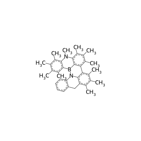 Cc1c(C)c(C)c2c(c1C)B1c3c(c(C)c(C)c(C)c3N2C)-c2c(C)c(C)c(C)c3c2N1c1ccccc1C3